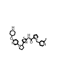 O=C(Nc1nc(C2CCCN2c2ccc(OC3CCNCC3)nc2)cs1)c1cccn1Cc1ccnc(F)c1